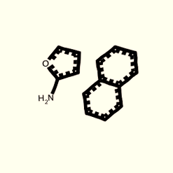 Nc1ccco1.c1ccc2ccccc2c1